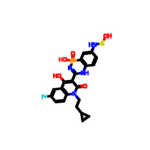 O=c1c(C2=NP(=O)(O)c3cc(NSO)ccc3N2)c(O)c2cc(F)ccc2n1CCC1CC1